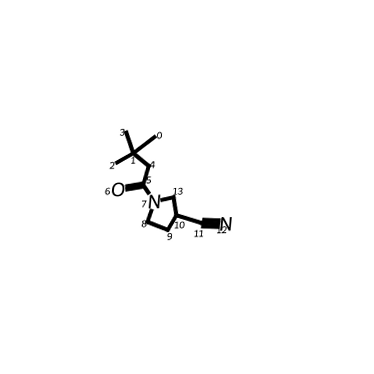 CC(C)(C)CC(=O)N1CCC(C#N)C1